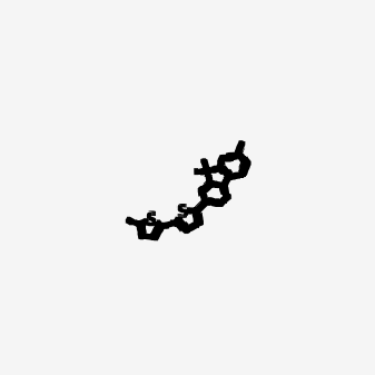 Cc1ccc2c(c1)C(C)(C)c1cc(-c3ccc(-c4ccc(C)s4)s3)ccc1-2